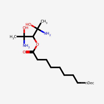 CCCCCCCCCCCCCCCCCC(=O)OC(C(C)(N)O)C(C)(N)O